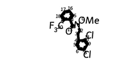 CON(CCc1ccc(Cl)cc1Cl)C(=O)c1ccccc1C(F)(F)F